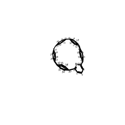 c1cc2pc(c1)-c1ccc(cc1)-c1ccc(cc1)-c1ccc(cc1)-c1ccc(cc1)-c1ccc-2cc1